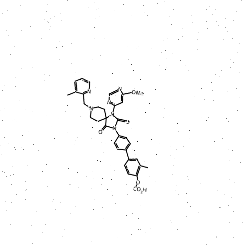 COc1cc(N2C(=O)N(c3ccc(-c4ccc(OC(=O)O)c(C)c4)cc3)C(=O)C23CCN(Cc2ncccc2C)CC3)ncn1